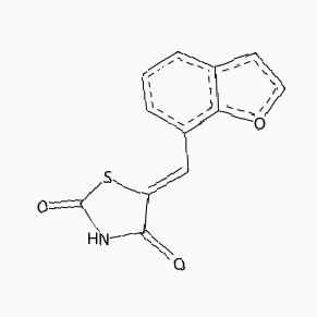 O=C1NC(=O)C(=Cc2cccc3ccoc23)S1